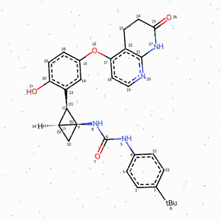 CC(C)(C)c1ccc(NC(=O)N[C@@]23C[C@H]2[C@H]3c2cc(Oc3ccnc4c3CCC(=O)N4)ccc2O)cc1